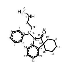 CNCC[C@@H](c1ccccc1)N1C(=O)C2(CCCCC2)c2ccccc21